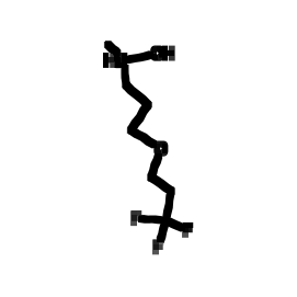 C[SiH](O)CCCOCCC(F)(F)F